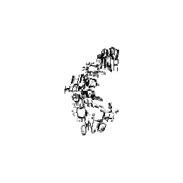 CN(CC(=O)N1CCCC1)C(=O)c1cccc(N2CCO[C@H]([C@@H](O)C(=O)Nc3ccc(-c4noc(=O)[nH]4)cc3)C2=O)c1